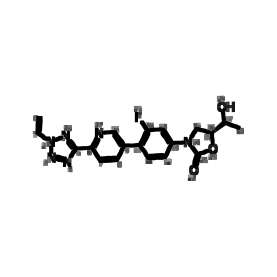 C=Cn1nnc(-c2ccc(-c3ccc(N4C[C@@H](C(C)O)OC4=O)cc3F)cn2)n1